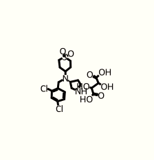 O=C(O)C(O)C(O)C(=O)O.O=S1(=O)CCC(N(Cc2ccc(Cl)cc2Cl)[C@H]2CCNC2)CC1